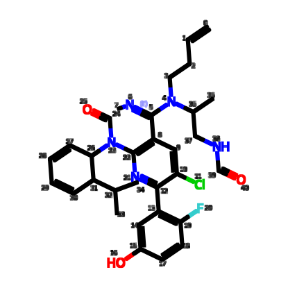 C=CCCN(/C(=N/C)c1cc(Cl)c(-c2cc(O)ccc2F)nc1N(C=O)C1C=CC=CC1C(C)C)C(C)CNC=O